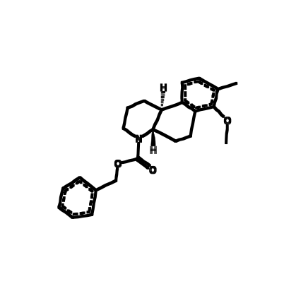 COc1c(C)ccc2c1CC[C@H]1[C@H]2CCCN1C(=O)OCc1ccccc1